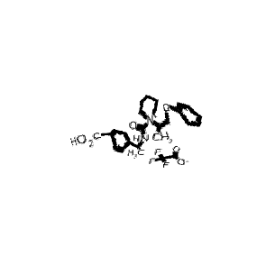 CC(COc1ccccc1)[N+]1(C(=O)N[C@@H](C)c2ccc(C(=O)O)cc2)CCCCC1.O=C([O-])C(F)(F)F